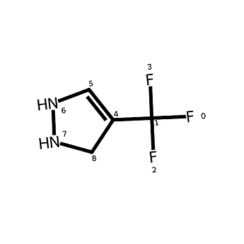 FC(F)(F)C1=CNNC1